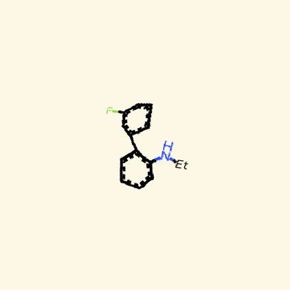 [CH2]CNc1ccccc1-c1cccc(F)c1